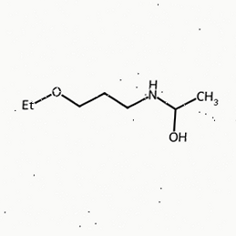 CCOCCCNC(C)O